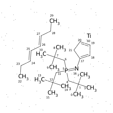 CC(C)(C)CP(CC(C)(C)C)(CC(C)(C)C)=NC1=CC=CC1.CCC=CC=CCC.[Ti]